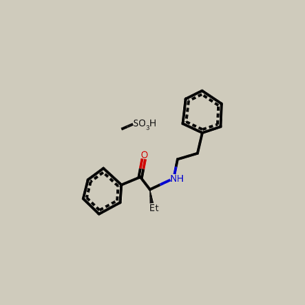 CC[C@H](NCCc1ccccc1)C(=O)c1ccccc1.CS(=O)(=O)O